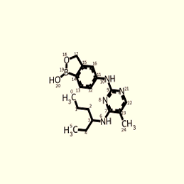 CCCC(CC)Nc1nc(Nc2ccc3c(c2)COB3O)ncc1C